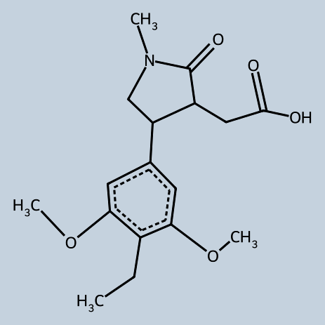 CCc1c(OC)cc(C2CN(C)C(=O)C2CC(=O)O)cc1OC